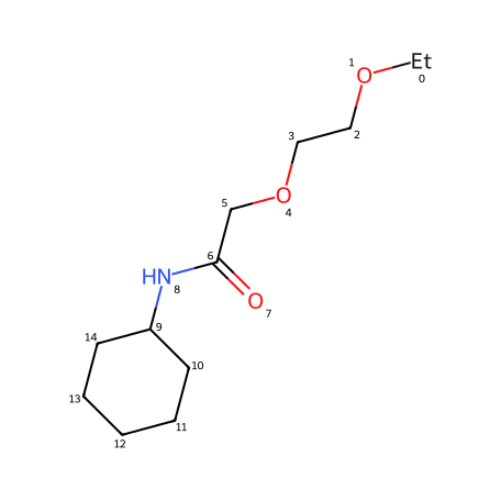 CCOCCOCC(=O)NC1CCCCC1